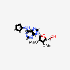 CO[C@@H]1[C@H](OC)[C@@H](CO)O[C@H]1n1cnc2c(NC3CCCC3)ncnc21